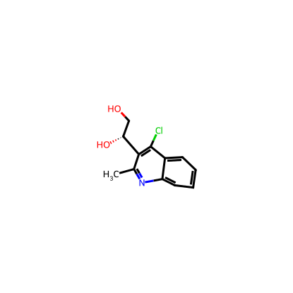 Cc1nc2ccccc2c(Cl)c1[C@H](O)CO